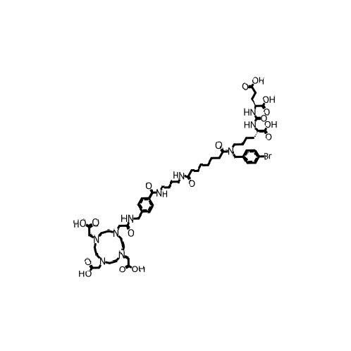 O=C(O)CC[C@H](NC(=O)N[C@@H](CCCCN(Cc1ccc(Br)cc1)C(=O)CCCCCCC(=O)NCCCCNC(=O)c1ccc(CNC(=O)CN2CCN(CC(=O)O)CCN(CC(=O)O)CCN(CC(=O)O)CC2)cc1)C(=O)O)C(=O)O